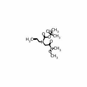 C=CCN(CC(=O)N(C)OC)C(=O)OC(C)(C)C